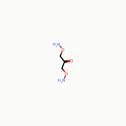 NOCC(=O)CON